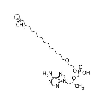 C[C@H](Cn1cnc2c(N)ncnc21)OCP(=O)(O)OCCOCCCCCCCCCCCCCC[Si]1(C)CCC1